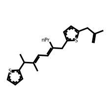 C=C(C)Cc1ccc(C/C(=C/C=C(\C)C(C)c2cccs2)CCC)s1